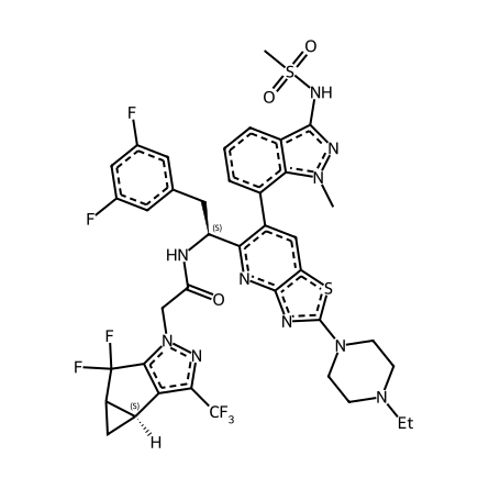 CCN1CCN(c2nc3nc([C@H](Cc4cc(F)cc(F)c4)NC(=O)Cn4nc(C(F)(F)F)c5c4C(F)(F)C4C[C@H]54)c(-c4cccc5c(NS(C)(=O)=O)nn(C)c45)cc3s2)CC1